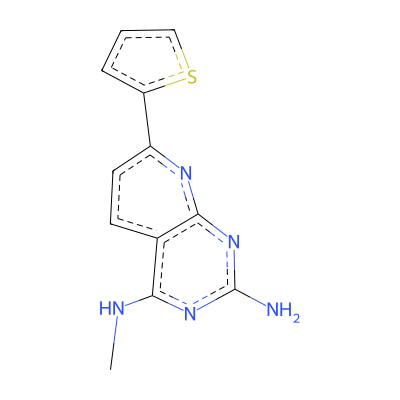 CNc1nc(N)nc2nc(-c3cccs3)ccc12